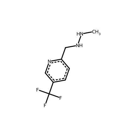 CNNCc1ccc(C(F)(F)F)cn1